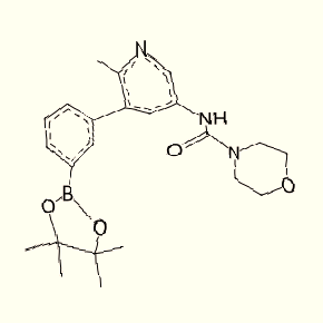 Cc1ncc(NC(=O)N2CCOCC2)cc1-c1cccc(B2OC(C)(C)C(C)(C)O2)c1